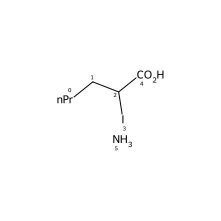 CCCCC(I)C(=O)O.N